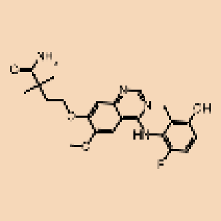 COc1cc2c(Nc3c(F)ccc(O)c3C)ncnc2cc1OCCC(C)(C)C(N)=O